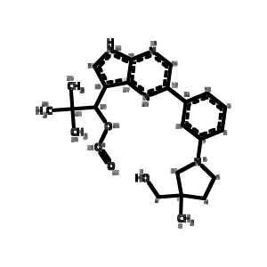 CC1(CO)CCN(c2cccc(-c3cnc4[nH]cc(C(O[O+]=O)C(C)(C)C)c4n3)c2)C1